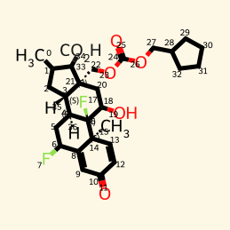 CC1C[C@H]2[C@@H]3CC(F)C4=CC(=O)C=C[C@]4(C)[C@@]3(F)C(O)C[C@]2(COC(=O)OCC2CCCC2)C1C(=O)O